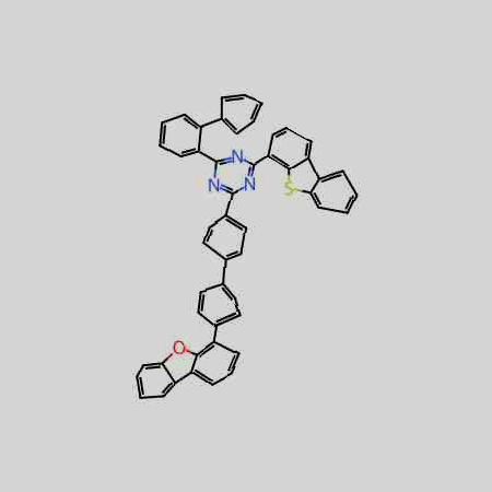 c1ccc(-c2ccccc2-c2nc(-c3ccc(-c4ccc(-c5cccc6c5oc5ccccc56)cc4)cc3)nc(-c3cccc4c3sc3ccccc34)n2)cc1